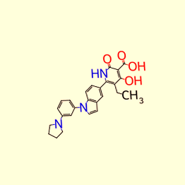 CCc1c(-c2ccc3c(ccn3-c3cccc(N4CCCC4)c3)c2)[nH]c(=O)c(C(=O)O)c1O